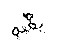 Cc1cncc(-c2cc(NC(=O)Cc3ccccc3Cl)cc([S+](N)[O-])c2)c1